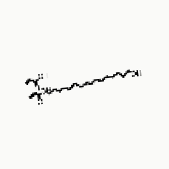 C=CC(=O)O.C=CC(=O)O.CCCCCCCCCCCCCCCCO